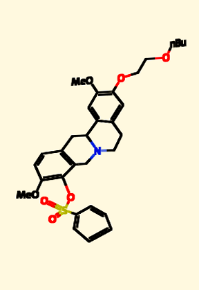 CCCCOCCOc1cc2c(cc1OC)C1Cc3ccc(OC)c(OS(=O)(=O)c4ccccc4)c3CN1CC2